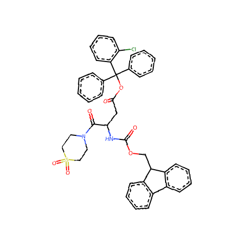 O=C(CC(NC(=O)OCC1c2ccccc2-c2ccccc21)C(=O)N1CCS(=O)(=O)CC1)OC(c1ccccc1)(c1ccccc1)c1ccccc1Cl